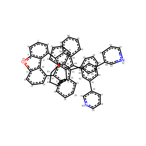 C1=Cc2c(c(-c3cccc4oc5cccc(-c6c7ccccc7c(-c7ccccc7)c7ccccc67)c5c34)c3ccccc3c2-c2cc(-c3cccnc3)cc(-c3cccnc3)c2)CC1